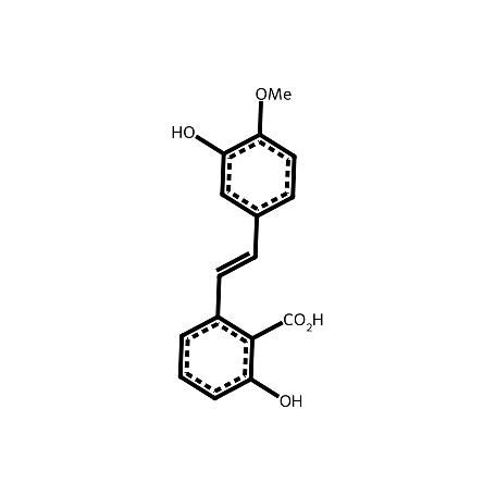 COc1ccc(/C=C/c2cccc(O)c2C(=O)O)cc1O